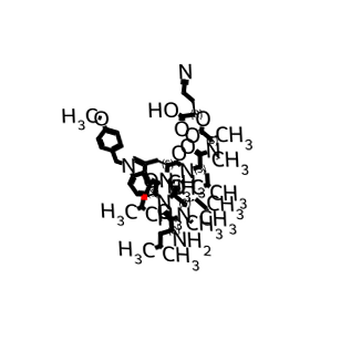 COc1ccc(Cn2cc(C[C@@H](C(=O)N[C@@H](CC(C)C)C(=O)N(C)[C@@H](C)C(=O)O[C@H](CCC#N)C(=O)O)N(C)C(=O)[C@H](CC(C)C)NC(=O)[C@H](CC(C)C)N(C)C(=O)[C@@H](N)CC(C)C)c3ccccc32)cc1